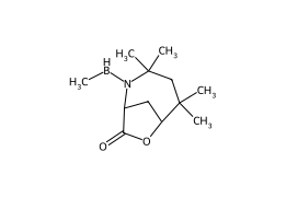 CBN1C2CC(OC2=O)C(C)(C)CC1(C)C